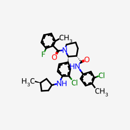 Cc1ccc(NC(=O)[C@H]2CCCN(C(=O)c3c(C)cccc3F)[C@H]2c2ccc(NC3CC[C@@H](C)C3)c(Cl)c2)cc1Cl